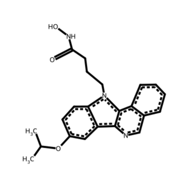 CC(C)Oc1ccc2c(c1)c1ncc3ccccc3c1n2CCCC(=O)NO